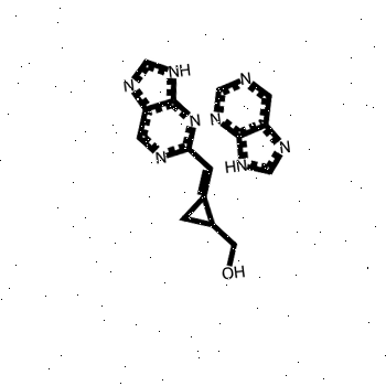 OCC1C/C1=C\c1ncc2nc[nH]c2n1.c1ncc2nc[nH]c2n1